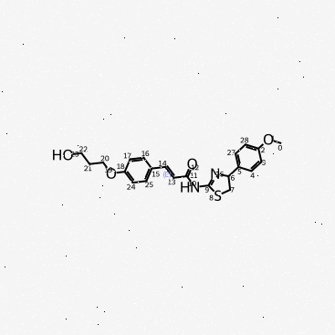 COc1ccc(C2CSC(NC(=O)/C=C/c3ccc(OCCCO)cc3)=N2)cc1